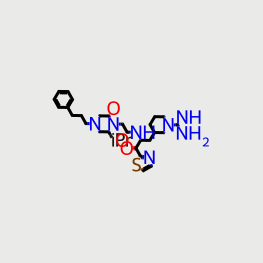 CC(C)C1CN(CCCc2ccccc2)CC(=O)N1CC(=O)NC(CC1CCCN(C(=N)N)C1)C(=O)c1nccs1